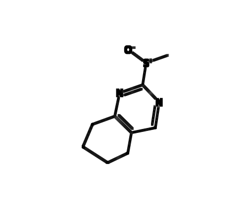 C[S+]([O-])c1ncc2c(n1)CCCC2